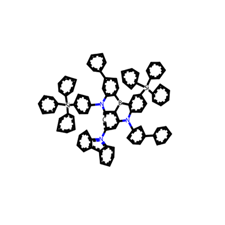 c1ccc(-c2cccc(N3c4ccc([Si](c5ccccc5)(c5ccccc5)c5ccccc5)cc4B4c5ccc(-c6ccccc6)cc5N(c5ccc([Si](c6ccccc6)(c6ccccc6)c6ccccc6)cc5)c5cc(-n6c7ccccc7c7ccccc76)cc3c54)c2)cc1